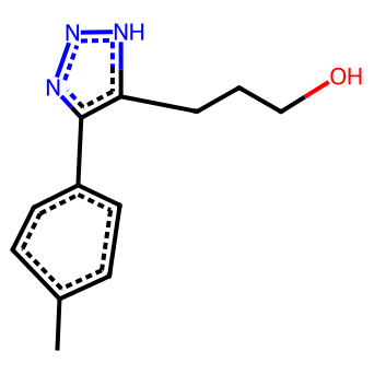 Cc1ccc(-c2nn[nH]c2CCCO)cc1